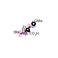 CCC1C(C(=O)Nc2ccc(OC)cc2)C2C(C(=O)O)C2(C)C1(CC)C(=O)ONC(=O)OC(C)(C)C